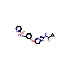 O=C(Nc1cn2cc(Oc3cccc(NS(=O)(=O)c4ccccn4)c3)ccc2n1)C1CC1